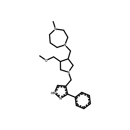 COCC1CN(Cc2c[nH]nc2-c2ccccc2)CC1CN1CCCN(C)CC1